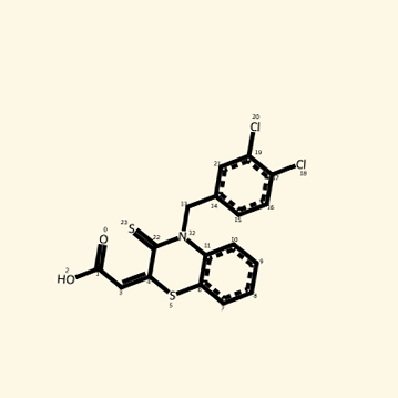 O=C(O)C=C1Sc2ccccc2N(Cc2ccc(Cl)c(Cl)c2)C1=S